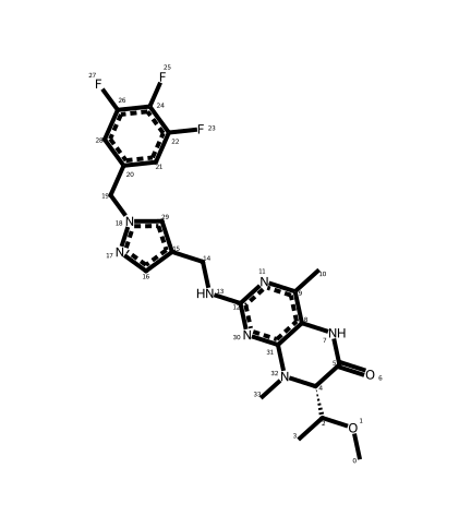 COC(C)[C@H]1C(=O)Nc2c(C)nc(NCc3cnn(Cc4cc(F)c(F)c(F)c4)c3)nc2N1C